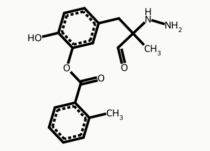 Cc1ccccc1C(=O)Oc1cc(CC(C)(C=O)NN)ccc1O